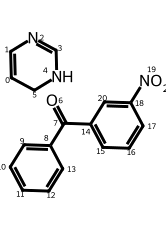 C1=CN=CNC1.O=C(c1ccccc1)c1cccc([N+](=O)[O-])c1